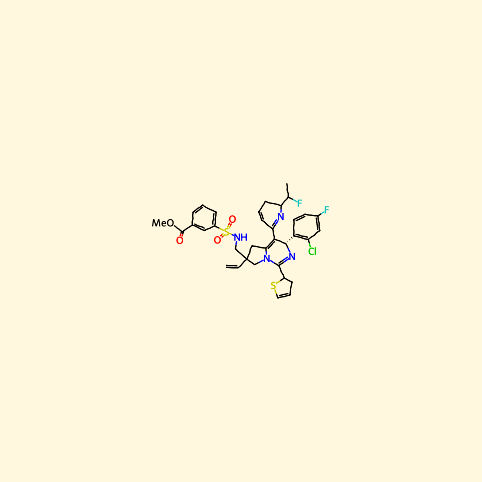 C=CC1(CNS(=O)(=O)c2cccc(C(=O)OC)c2)CC2=C(C3=NC(C(C)F)CC=C3)[C@H](c3ccc(F)cc3Cl)N=C(C3CC=CS3)N2C1